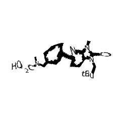 CN(Cc1cccc(-c2ccc3c(n2)n(C)c(=O)n3CC(C)(C)C)c1)C(=O)O